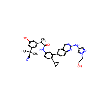 CC(C(=O)Nc1ccc(C2CC2)c(-c2ccc3nc(Nc4cnn(CCO)c4)ncc3c2)c1)c1cc(O)cc(C(C)(C)C#N)c1